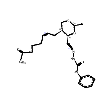 COC(=O)CCC/C=C\C[C@H]1CO[C@@H](C)O[C@H]1/C=N/NC(=O)Nc1ccccc1